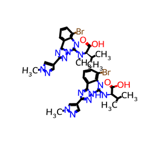 CC(C)[C@@H](Nc1nc2c(Br)cccc2c2nc(-c3cnn(C)c3)nn12)C(=O)O.CC(C)[C@H](C(=O)O)N(C)c1nc2c(Br)cccc2c2nc(-c3cnn(C)c3)nn12